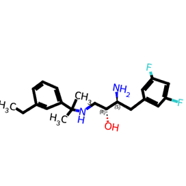 CCc1cccc(C(C)(C)NC[C@@H](O)[C@@H](N)Cc2cc(F)cc(F)c2)c1